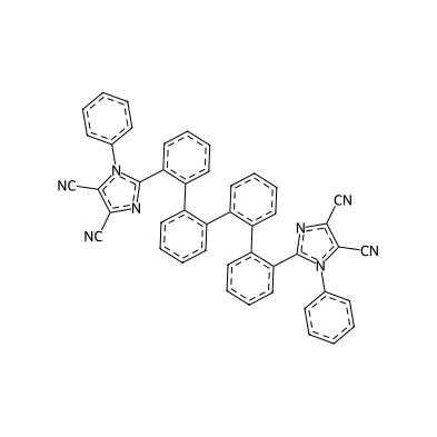 N#Cc1nc(-c2ccccc2-c2ccccc2-c2ccccc2-c2ccccc2-c2nc(C#N)c(C#N)n2-c2ccccc2)n(-c2ccccc2)c1C#N